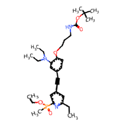 CCOP(C)(=O)c1cc(C#Cc2ccc(OCCCNC(=O)OC(C)(C)C)c(N(CC)CC)c2)cc(CC)n1